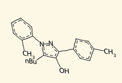 CCCCc1c(O)c(-c2ccc(C)cc2)nn1-c1ccccc1C